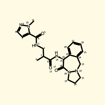 CC(CNC(=O)c1ccnn1C)C(=O)N[C@@H]1C(=O)N2CCCN2Cc2ccccc21